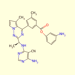 Cc1cc(C(=O)Oc2cccc(N)c2)cc(-c2nc([C@H](C)Nc3ncnc(N)c3C#N)nn3ccc(C)c23)c1